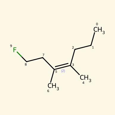 CCC/C(C)=C(/C)CCF